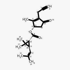 C#CCC1=C(C)[C@@H](OC(=O)[C@@H]2[C@@H](C=C(C)C)C2(C)C)CC1=O